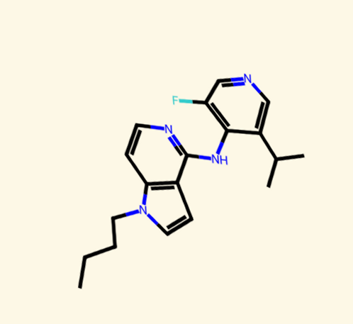 CCCCn1ccc2c(Nc3c(F)cncc3C(C)C)nccc21